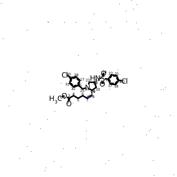 COC(=O)CCC/C=C\[C@@H]1C[C@@H](NS(=O)(=O)c2ccc(Cl)cc2)CN1Cc1ccc(Cl)cc1